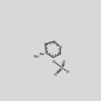 O=S(=O)([O-])[O-].[Na+].[Na+].c1ccncc1